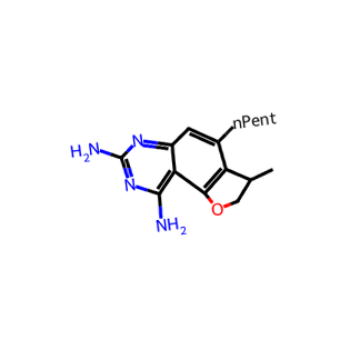 CCCCCc1cc2nc(N)nc(N)c2c2c1C(C)CO2